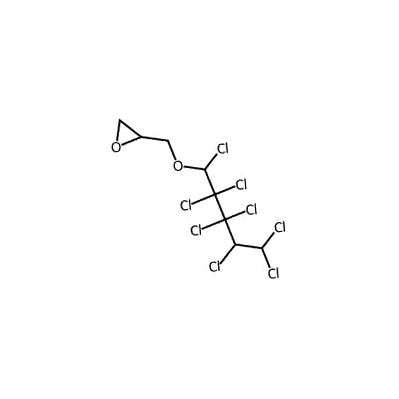 ClC(Cl)C(Cl)C(Cl)(Cl)C(Cl)(Cl)C(Cl)OCC1CO1